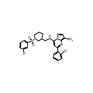 Bc1cnn2c(NCC3CCCN(S(=O)(=O)c4cccc(Cl)c4)C3)cc(-c3ccccc3Cl)nc12